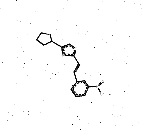 O=[N+]([O-])c1cccc(C=Cc2nc(C3CCCC3)cs2)c1